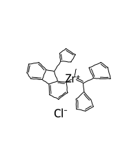 [CH3][Zr+](=[C](c1ccccc1)c1ccccc1)[c]1cccc2c1C(C1=CC=CC1)c1ccccc1-2.[Cl-]